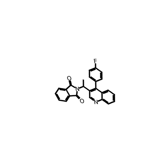 CC(c1cnc2ccccc2c1-c1ccc(F)cc1)N1C(=O)c2ccccc2C1=O